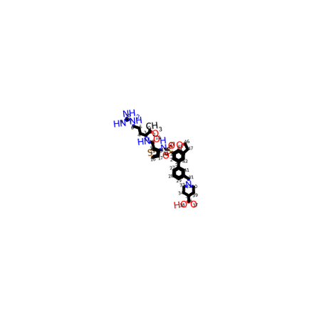 CC(=O)C(CCCNC(=N)N)NC(=O)c1sccc1NS(=O)(=O)c1cc(-c2cccc(CN3CCC(C(=O)O)CC3)c2)cc2c1OCC2